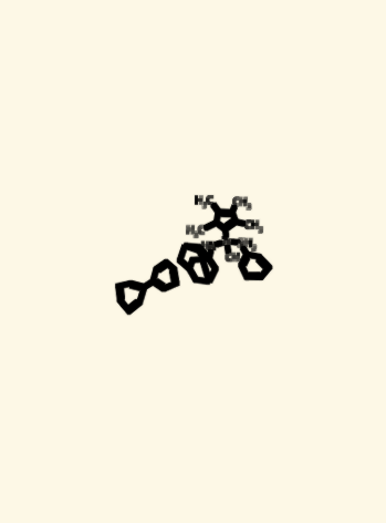 CC1=C(C)C(C)[C]([Zr]([CH3])([NH]C23CC4CC(CC(C4)C2)C3)[SiH2]c2ccccc2)=C1C.c1ccc(-c2ccccc2)cc1